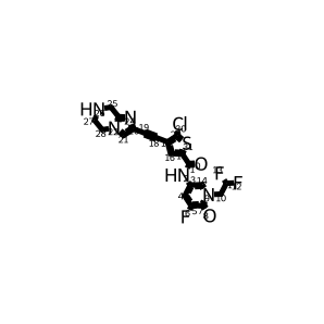 O=C(Nc1cc(F)c(=O)n(CC(F)F)c1)c1cc(C#Cc2cn3c(n2)CNCC3)c(Cl)s1